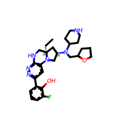 CC[C@@]12CNc3nnc(-c4cccc(F)c4O)cc3N1C[C@H](N(CC1CCCO1)C1CCNCC1)C2